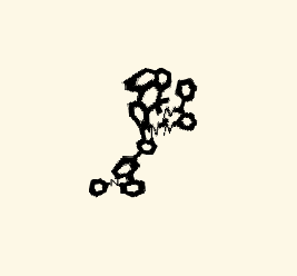 CC1(C)c2cccc3cccc(c23)-c2ccc3c4cc(-c5ccc6c(c5)c5ccccc5n6-c5ccccc5)ccc4n(-c4nc(-c5ccccc5)c5ccccc5n4)c3c21